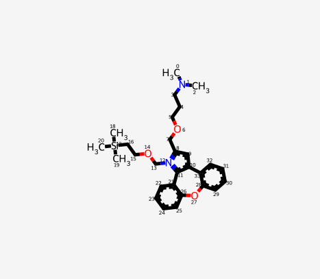 CN(C)CCCOCc1cc2c(n1COCC[Si](C)(C)C)-c1ccccc1Oc1ccccc1-2